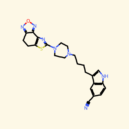 N#Cc1ccc2[nH]cc(CCCCN3CCN(c4nc5c(s4)CCc4nonc4-5)CC3)c2c1